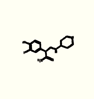 NC(=O)[C@H](CNC1CCOCC1)c1ccc(Cl)c(F)c1